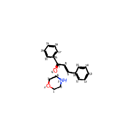 C1COCCN1.O=C(C=Cc1ccccc1)c1ccccc1